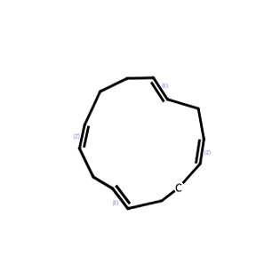 C1=C\CC/C=C/C/C=C\CC/C=C/C/1